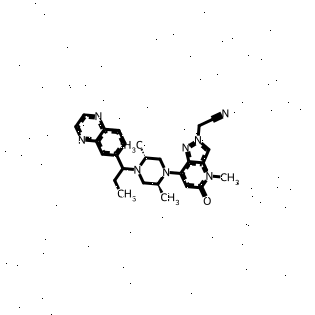 CCC(c1ccc2nccnc2c1)N1C[C@H](C)N(c2cc(=O)n(C)c3cn(CC#N)nc23)C[C@H]1C